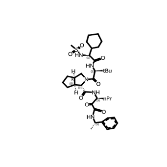 CCC[C@H](NC(=O)[C@@H]1[C@H]2CCC[C@H]2CN1C(=O)[C@@H](NC(=O)[C@@H](NS(C)(=O)=O)C1CCCCC1)C(C)(C)C)C(=O)C(=O)N[C@@H](C)c1ccccc1